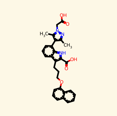 Cc1nn(CC(=O)O)c(C)c1-c1cccc2c(CCCOc3cccc4ccccc34)c(C(=O)O)[nH]c12